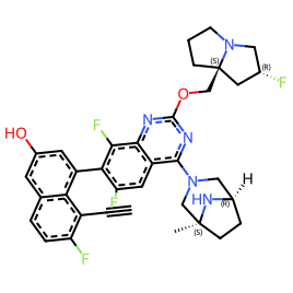 C#Cc1c(F)ccc2cc(O)cc(-c3c(F)cc4c(N5C[C@H]6CC[C@@](C)(C5)N6)nc(OC[C@@]56CCCN5C[C@H](F)C6)nc4c3F)c12